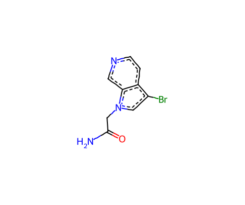 NC(=O)Cn1cc(Br)c2ccncc21